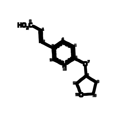 O=C(O)C=Cc1ccc(OC2CCOC2)nc1